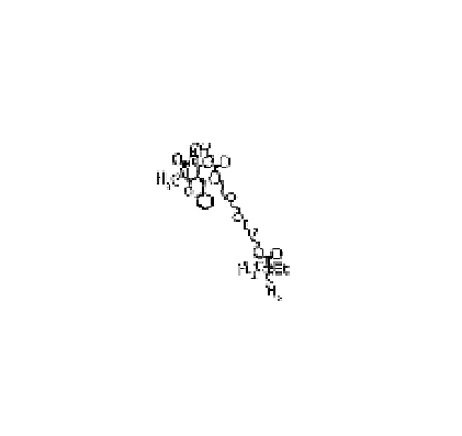 CCC(C)(C)C(=O)OCCOCCOCCOCCOC(=O)Oc1c(Cc2ccccc2)c(=O)n(C)c(=O)n1C